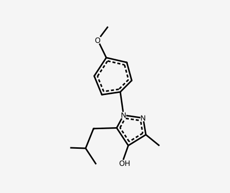 COc1ccc(-n2nc(C)c(O)c2CC(C)C)cc1